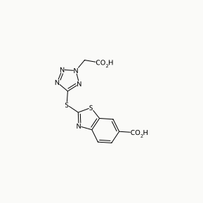 O=C(O)Cn1nnc(Sc2nc3ccc(C(=O)O)cc3s2)n1